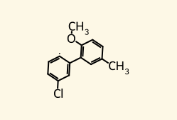 COc1ccc(C)cc1-c1[c]ccc(Cl)c1